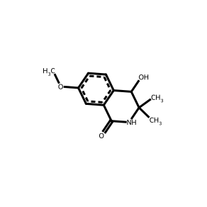 COc1ccc2c(c1)C(=O)NC(C)(C)C2O